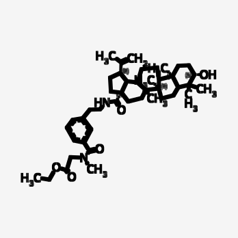 C=C(C)[C@@H]1CC[C@]2(C(=O)NCCc3cccc(C(=O)N(C)CC(=O)OCC)c3)CC[C@]3(C)C(CCC4[C@@]5(C)CC[C@H](O)C(C)(C)C5CC[C@]43C)C12